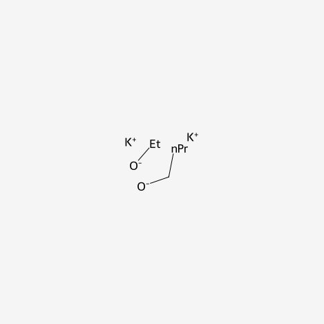 CCCC[O-].CC[O-].[K+].[K+]